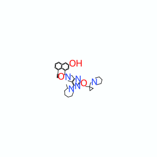 C#Cc1cccc2cc(O)cc(C(=O)N3Cc4nc(OCC5(CN6CCCCC6)CC5)nc(N5CCCCCC5C)c4C3)c12